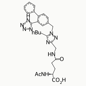 CCCCc1nc(CNC(=O)CC[C@H](NC(C)=O)C(=O)O)nn1Cc1ccc(-c2ccccc2)c(-c2nnn[nH]2)c1